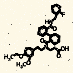 CCOc1ccc(CCN(CCC(=O)O)C(=O)c2ccccc2-c2ccccc2C(=O)NCc2ccccc2F)cc1OC